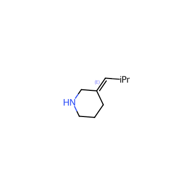 CC(C)/C=C1\CCCNC1